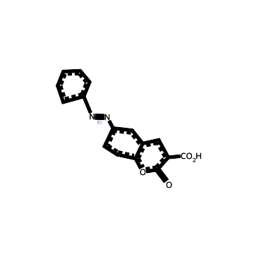 O=C(O)c1cc2cc(/N=N/c3ccccc3)ccc2oc1=O